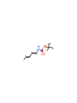 CC=CC=CNC(=O)OC(C)(C)C